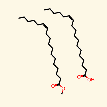 CCCCC/C=C\CCCCCCCCCCC(=O)O.CCCCC/C=C\CCCCCCCCCCC(=O)OC